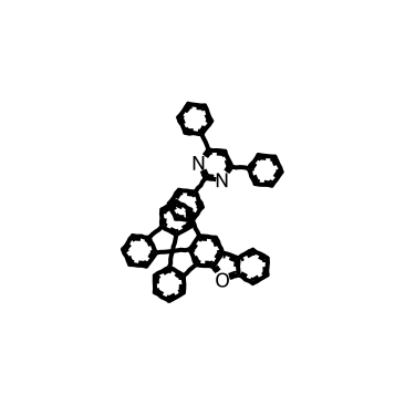 c1ccc(-c2cc(-c3ccccc3)nc(-c3cccc(-c4cc5c(oc6ccccc65)c5c4C4(c6ccccc6-c6ccccc64)c4ccccc4-5)c3)n2)cc1